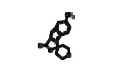 Cc1ccc2c(c1)cc1n2C2(CCOCC2)OC1=O